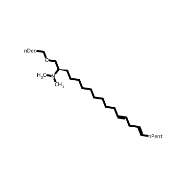 CCCCCC=CCC=CCCCCCCCCC[C@H](COCCCCCCCCCCC)N(C)C